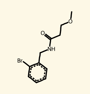 COCCC(=O)NCc1ccccc1Br